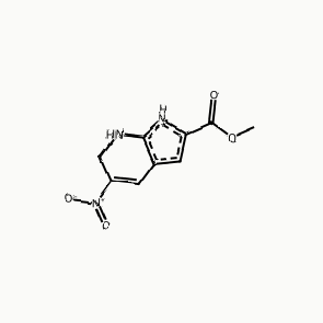 COC(=O)c1cc2c([nH]1)NCC([N+](=O)[O-])=C2